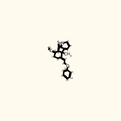 CC1(c2cccnc2)C(=C=S)C(=C=S)CCC1=CCOc1ccccc1